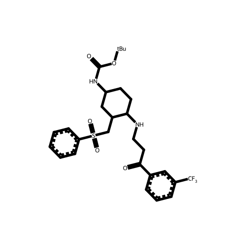 CC(C)(C)OC(=O)NC1CCC(NCCC(=O)c2cccc(C(F)(F)F)c2)C(CS(=O)(=O)c2ccccc2)C1